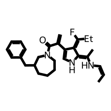 C=C(C(=O)N1CCCCC(Cc2ccccc2)C1)c1c[nH]c(=C(/C)N/C=C\C)/c1=C(/F)CC